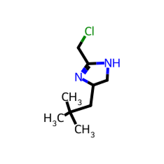 CC(C)(C)CC1CNC(CCl)=N1